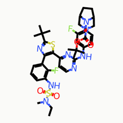 CCN(C)S(=O)(=O)Nc1cccc(-c2nc(C(C)(C)C)sc2-c2ccnc(Nc3ccc(N4C5CCC4CN(C(=O)OC(C)(C)C)C5)c(F)c3)n2)c1F